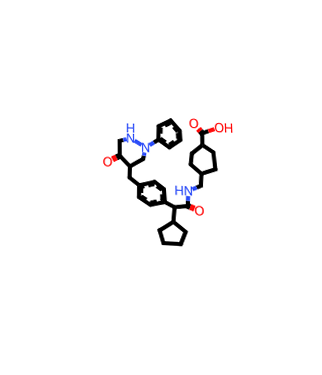 O=C(O)C1CCC(CNC(=O)C(c2ccc(CC3CN(c4ccccc4)NCC3=O)cc2)C2CCCC2)CC1